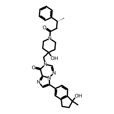 C[C@H](CC(=O)N1CCC(O)(Cn2cnn3c(-c4ccc5c(c4)CCC5(C)O)cnc3c2=O)CC1)c1ccccc1